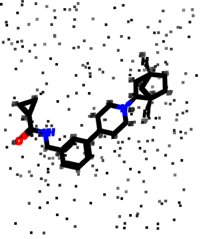 O=C(NCc1cccc(C2CCN([C@H]3C[C@H]4CC[C@H]3C4)CC2)c1)C1CC1